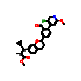 COC(=O)[C@@H](C)[C@H](c1ccc2c(c1)OC(c1ccc(-c3cc(OC)ncc3F)c(C=O)c1)CC2)C1CC1